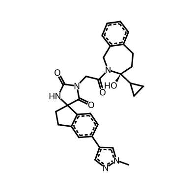 Cn1cc(-c2ccc3c(c2)CCC32NC(=O)N(CC(=O)N3Cc4ccccc4CC[C@]3(O)C3CC3)C2=O)cn1